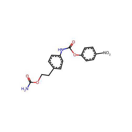 NC(=O)OCCc1ccc(NC(=O)Oc2ccc([N+](=O)[O-])cc2)cc1